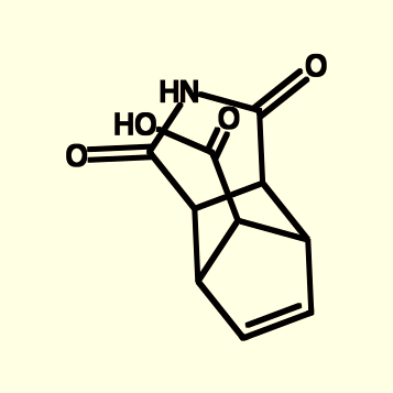 O=C(O)C1C2C=CC1C1C(=O)NC(=O)C21